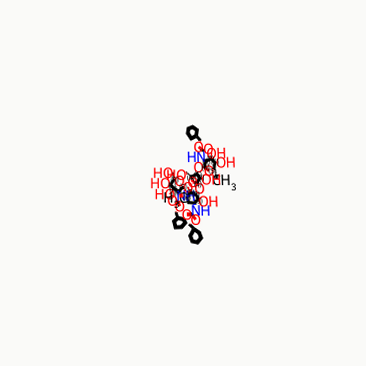 CC[C@@H]1O[C@H](O[C@H]2[C@@H](O)[C@H](O[C@H]3[C@H](O[C@H]4O[C@H](CO)[C@@H](O)[C@H](O)[C@H]4NC(=O)OCc4ccccc4)[C@@H](C)CC(NC(=O)OCc4ccccc4)[C@@H]3O)O[C@@H]2CO)[C@H](NC(=O)OCc2ccccc2)[C@@H](O)[C@@H]1O